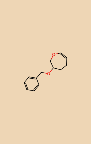 C1=COCC(OCc2ccccc2)CC1